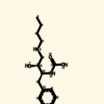 CCCCNC[C@H](O)[C@H](Cc1ccccc1)NC(=O)O